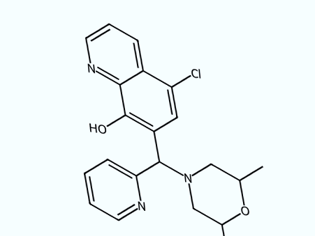 CC1CN(C(c2ccccn2)c2cc(Cl)c3cccnc3c2O)CC(C)O1